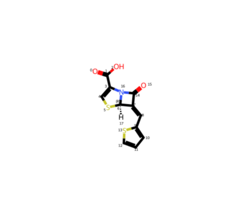 O=C(O)C1=CS[C@@H]2C(=Cc3cccs3)C(=O)N12